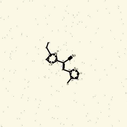 CCc1csc(/C(C#N)=C/c2sccc2C)n1